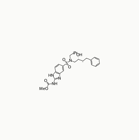 COC(=O)Nc1nc2cc(S(=O)(=O)N(CC(C)C)C[C@H](O)[CH]Cc3ccccc3)ccc2[nH]1